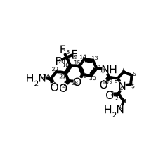 NCC(=O)N1CCCC1C(=O)Nc1ccc2c(C(F)(F)F)c(CC(N)=O)c(=O)oc2c1